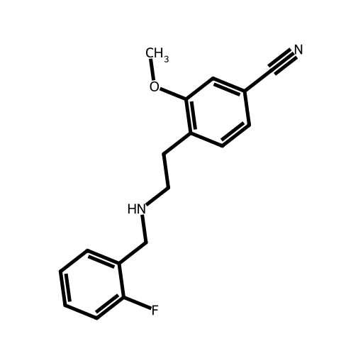 COc1cc(C#N)ccc1CCNCc1ccccc1F